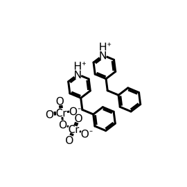 [O]=[Cr](=[O])([O-])[O][Cr](=[O])(=[O])[O-].c1ccc(Cc2cc[nH+]cc2)cc1.c1ccc(Cc2cc[nH+]cc2)cc1